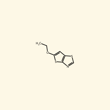 CCOc1cc2scnc2s1